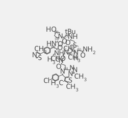 Cc1ncsc1-c1ccc([C@@H](NC(=O)[C@@H]2C[C@@H](O)CN2C(=O)[C@@H](NC(=O)CSC[C@@H](NC(=O)[C@@H](C)N(C)CCN(C)C(=O)C[C@@H]2N=C(c3ccc(Cl)cc3)c3c(sc(C)c3C)-n3c(C)nnc32)C(N)=O)C(C)(C)C)C(=O)NCC=O)cc1